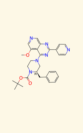 COc1cncc2nc(-c3ccncc3)nc(N3CCN(C(=O)OC(C)(C)C)[C@H](Cc4ccccc4)C3)c12